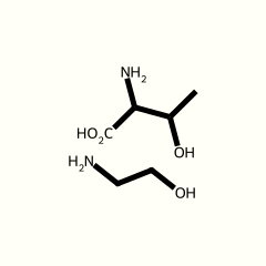 CC(O)C(N)C(=O)O.NCCO